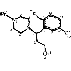 CC(C)N1CCN([C@H](CCO)c2cc(Cl)ccc2F)CC1